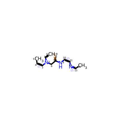 C=CN(/C=C\C)CC(=S)N/C=C\N=C/C